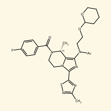 CC(=O)N(CCOC1CCCCO1)c1nc(-c2nc(C)ns2)n2c1[C@@H](C)N(C(=O)c1ccc(F)cc1)CC2